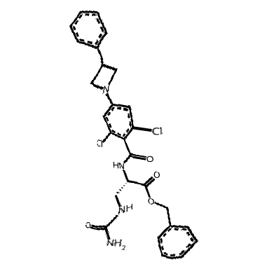 NC(=O)NC[C@H](NC(=O)c1c(Cl)cc(N2CC(c3ccccc3)C2)cc1Cl)C(=O)OCc1ccccc1